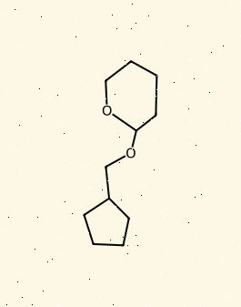 C1CCC(OCC2CCCC2)OC1